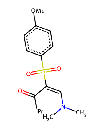 COc1ccc(S(=O)(=O)C(=CN(C)C)C(=O)C(C)C)cc1